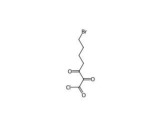 O=C(Cl)C(=O)C(=O)CCCCBr